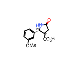 COc1cccc([C@@H]2NC(=O)C[C@H]2C(=O)O)c1